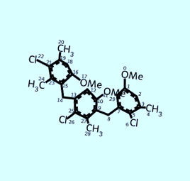 COc1cc(C)c(Cl)c(Cc2c(OC)cc(Cc3c(OC)cc(C)c(Cl)c3C)c(Cl)c2C)c1